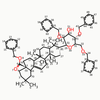 CC1(C)CC[C@]2(C(=O)OCc3ccccc3)CC[C@]3(C)C(=CCC4[C@@]5(C)CC[C@@H]([C@@H]6OC(COCc7ccccc7)[C@@H](OCc7ccccc7)C(O)C6OCc6ccccc6)C(C)(C)C5CC[C@]43C)C2C1